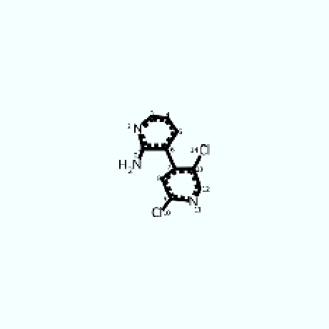 Nc1ncccc1-c1cc(Cl)ncc1Cl